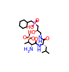 CC(C)C[C@H](NC(=O)[C@H](N)C(C)S(C)(=O)=O)C(=O)NC[C@@H](O)CP(=O)(O)CC1CCCCC1